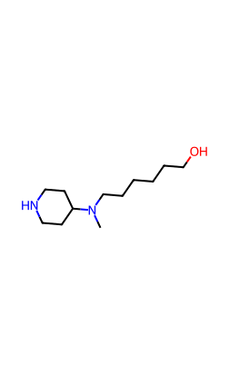 CN(CCCCCCO)C1CCNCC1